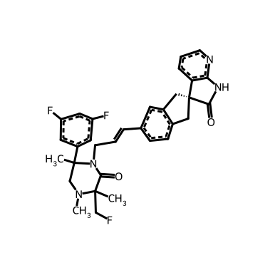 CN1CC(C)(c2cc(F)cc(F)c2)N(C/C=C/c2ccc3c(c2)C[C@@]2(C3)C(=O)Nc3ncccc32)C(=O)C1(C)CF